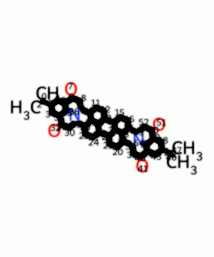 CC(C)c1cc2c(=O)cc3c4ccc5c6ccc7c8c(ccc(c9ccc(c4c59)c4cc(=O)c(c1)c2n34)c68)c1cc(=O)c2cc(C(C)C)cc3c(=O)cc7n1c32